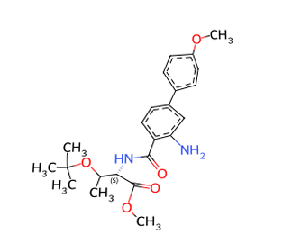 COC(=O)[C@@H](NC(=O)c1ccc(-c2ccc(OC)cc2)cc1N)C(C)OC(C)(C)C